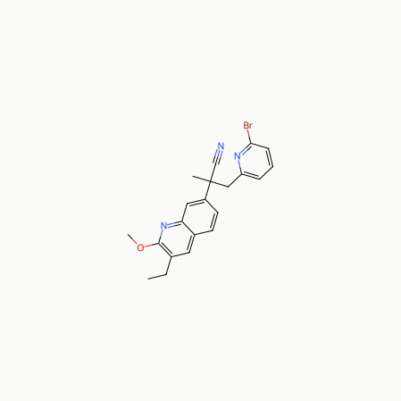 CCc1cc2ccc(C(C)(C#N)Cc3cccc(Br)n3)cc2nc1OC